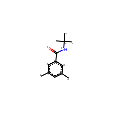 Cc1cc(C)cc(C(=O)NC(C)(C)C)c1